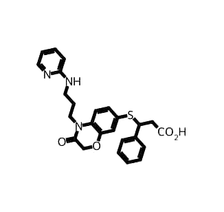 O=C(O)CC(Sc1ccc2c(c1)OCC(=O)N2CCCNc1ccccn1)c1ccccc1